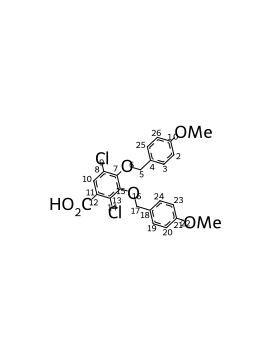 COc1ccc(COc2c(Cl)cc(C(=O)O)c(Cl)c2OCc2ccc(OC)cc2)cc1